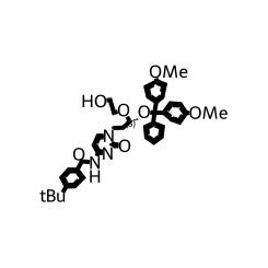 COc1ccc(C(OC[C@H](CCn2ccc(NC(=O)c3ccc(C(C)(C)C)cc3)nc2=O)OCCO)(c2ccccc2)c2ccc(OC)cc2)cc1